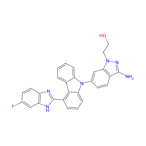 Nc1nn(CCO)c2cc(-n3c4ccccc4c4c(-c5nc6ccc(F)cc6[nH]5)cccc43)ccc12